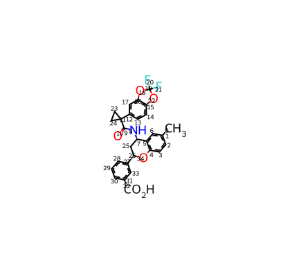 Cc1ccc2c(c1)[C@H](NC(=O)C1(c3ccc4c(c3)OC(F)(F)O4)CC1)C[C@H](c1cccc(C(=O)O)c1)O2